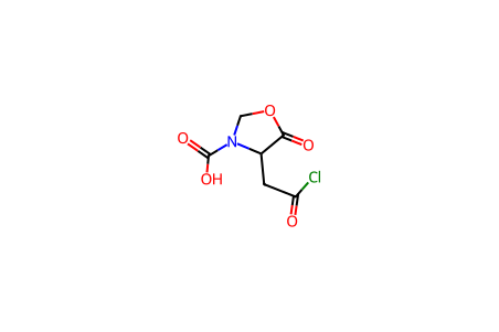 O=C(Cl)CC1C(=O)OCN1C(=O)O